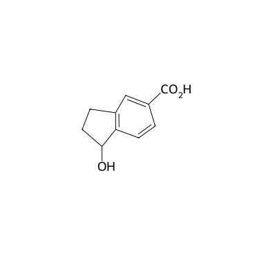 O=C(O)c1ccc2c(c1)CCC2O